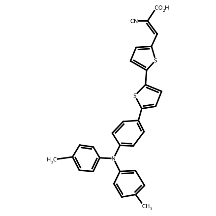 [C-]#[N+]/C(=C\c1ccc(-c2ccc(-c3ccc(N(c4ccc(C)cc4)c4ccc(C)cc4)cc3)s2)s1)C(=O)O